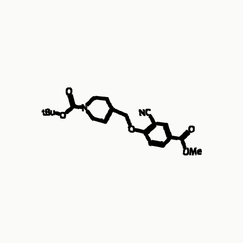 COC(=O)c1ccc(OCC2CCN(C(=O)OC(C)(C)C)CC2)c(C#N)c1